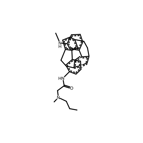 CCCN(C)CC(=O)Nc1cccc(-c2cc3ccc2CCc2ccc(c(-c4cccc(NC)c4)c2)CC3)c1